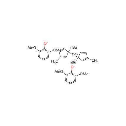 CCCC[C]1([Zr+2][C]2(CCCC)C=CC(C)=C2)C=CC(C)=C1.COc1cccc(OC)c1[O-].COc1cccc(OC)c1[O-]